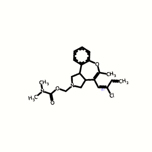 C=C/C(Cl)=C\C1=C(C)Oc2ccccc2C2CN(COC(=O)N(C)C)CC12